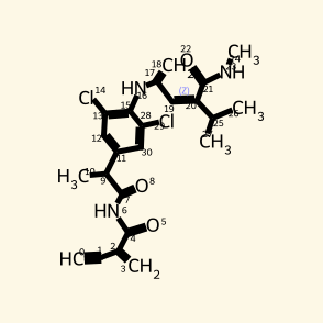 C#CC(=C)C(=O)NC(=O)C(C)c1cc(Cl)c(NC(=C)/C=C(\C(=O)NC)C(C)C)c(Cl)c1